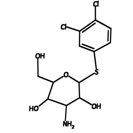 NC1C(O)C(CO)OC(Sc2ccc(Cl)c(Cl)c2)C1O